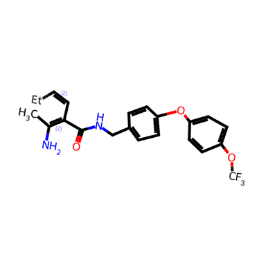 CC/C=C\C(C(=O)NCc1ccc(Oc2ccc(OC(F)(F)F)cc2)cc1)=C(/C)N